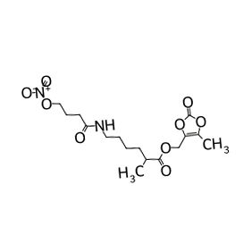 Cc1oc(=O)oc1COC(=O)C(C)CCCCNC(=O)CCCO[N+](=O)[O-]